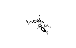 CCS(=N)Cc1cc(F)cc(Nc2ncc(F)c(-c3ccc(F)cc3OC)n2)c1